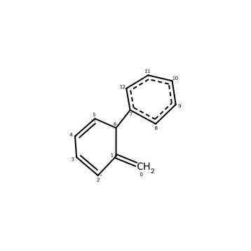 C=C1[C]=CC=[C]C1c1ccccc1